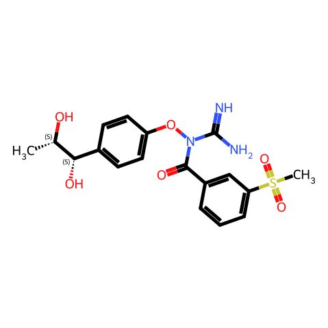 C[C@H](O)[C@@H](O)c1ccc(ON(C(=N)N)C(=O)c2cccc(S(C)(=O)=O)c2)cc1